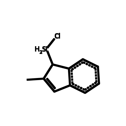 CC1=Cc2ccccc2C1[SiH2]Cl